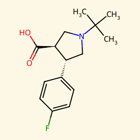 CC(C)(C)N1C[C@H](C(=O)O)[C@@H](c2ccc(F)cc2)C1